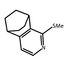 CSc1nccc2c1C1CCC2CC1